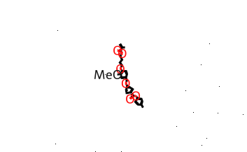 C=C(C)C(=O)OCCCCOc1ccc(COc2ccc(C(=O)Oc3ccc(C)cc3)cc2)cc1OC